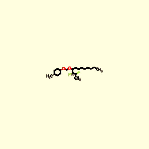 CCCCCCCCC(O[C]O[C@H]1CC[C@H](C)CC1)[C@@H](F)C(C)F